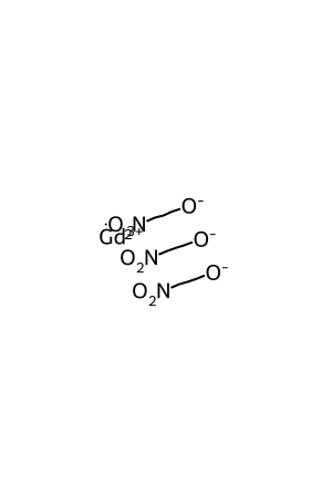 O=[N+]([O-])[O-].O=[N+]([O-])[O-].O=[N+]([O-])[O-].[Gd+3]